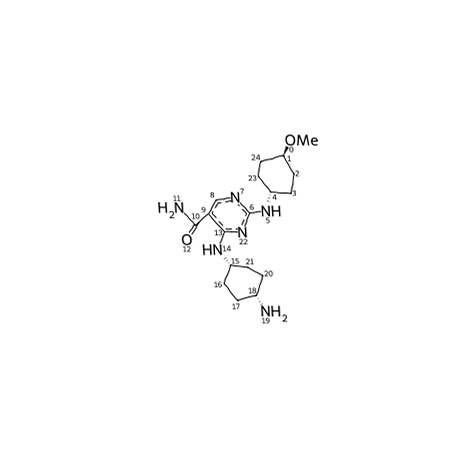 CO[C@H]1CC[C@H](Nc2ncc(C(N)=O)c(N[C@H]3CC[C@@H](N)CC3)n2)CC1